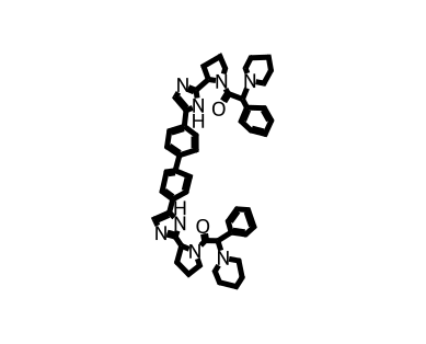 O=C(C(c1ccccc1)N1CCCCC1)N1CCCC1c1ncc(-c2ccc(-c3ccc(-c4cnc(C5CCCN5C(=O)C(c5ccccc5)N5CCCCC5)[nH]4)cc3)cc2)[nH]1